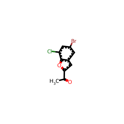 CC(=O)c1cc2cc(Br)cc(Cl)c2o1